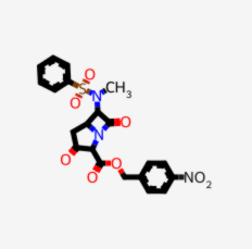 CN(C1C(=O)N2C(C(=O)OCc3ccc([N+](=O)[O-])cc3)C(=O)CC12)S(=O)(=O)c1ccccc1